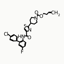 C=CCCOC(=O)N1CCC(c2nc(C(=O)Nc3ccc(F)cc3-c3ccc(Cl)cc3)cs2)CC1